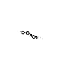 Cn1cc2cc(-c3nc4ccc(C5CCNCC5)cc4s3)ccc2n1